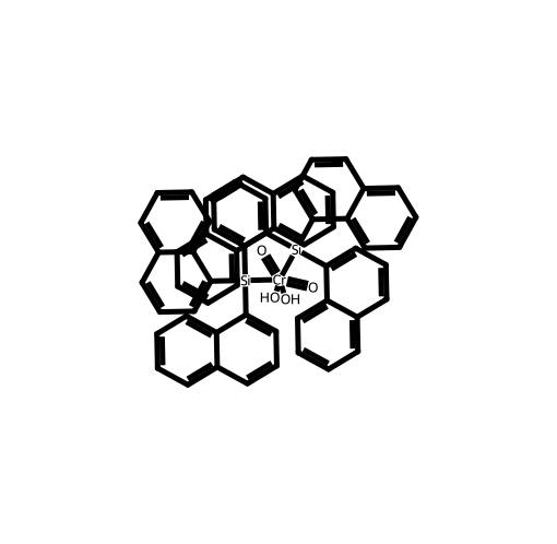 [O]=[Cr](=[O])([OH])([OH])([Si](c1cccc2ccccc12)(c1cccc2ccccc12)c1cccc2ccccc12)[Si](c1cccc2ccccc12)(c1cccc2ccccc12)c1cccc2ccccc12